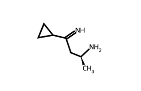 C[C@H](N)CC(=N)C1CC1